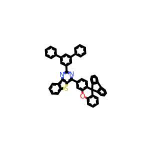 c1ccc(-c2cc(-c3ccccc3)cc(-c3nc(-c4ccc5c(c4)Oc4ccccc4C54c5ccccc5-c5ccccc54)c4sc5ccccc5c4n3)c2)cc1